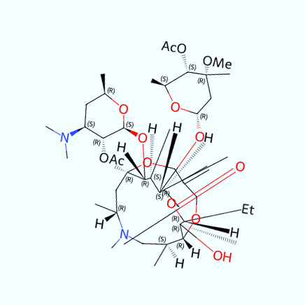 C=C1CO[C@@H]2[C@@H](C)CN(C)[C@H](C)C[C@@](C)(OC1)[C@H](O[C@@H]1O[C@H](C)C[C@H](N(C)C)[C@H]1OC(C)=O)[C@@H](C)[C@H](O[C@H]1C[C@@](C)(OC)[C@@H](OC(C)=O)[C@H](C)O1)[C@@H](C)C(=O)O[C@H](CC)[C@@]2(C)O